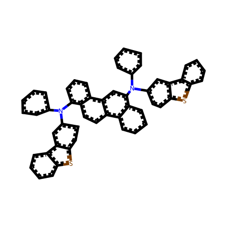 c1ccc(N(c2ccc3sc4ccccc4c3c2)c2cc3c4cccc(N(c5ccccc5)c5ccc6sc7ccccc7c6c5)c4ccc3c3ccccc23)cc1